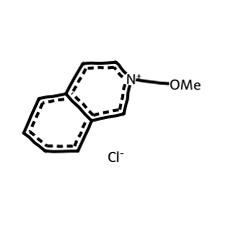 CO[n+]1ccc2ccccc2c1.[Cl-]